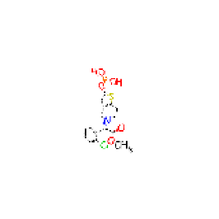 COC(=O)C(c1ccccc1Cl)N1CCc2sc(OP(O)O)cc2C1